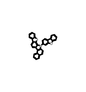 c1ccc2c(c1)ccc1c2c2ccc3c4ccccc4sc3c2n1-c1ccc2c(c1)oc1ccccc12